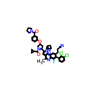 Cc1nc2c(F)c(-c3cccc(Cl)c3Cl)c(CCC#N)cc2c2c1cc(C1CC(Oc3cccc(C(=O)N4CCCC4)c3)CN1C(=O)C1CC1)n2C1C2CNC1C2